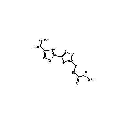 COC(=O)c1csc(-c2coc(CNC(=O)OC(C)(C)C)n2)n1